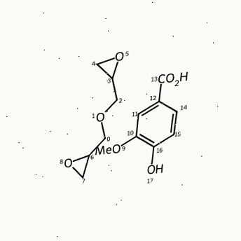 C(OCC1CO1)C1CO1.COc1cc(C(=O)O)ccc1O